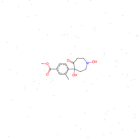 COC(=O)c1ccc(C2(O)CCN(O)CCC2=O)c(C)c1